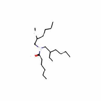 CCCCCC(=O)N(CC(CC)CCCC)CC(CC)CCCC